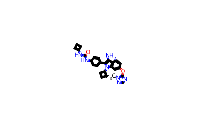 Cn1ncnc1Oc1ccc2c(N)c(-c3ccc(NC(=O)NC4CCC4)cc3)n(C3CCC3)c2c1